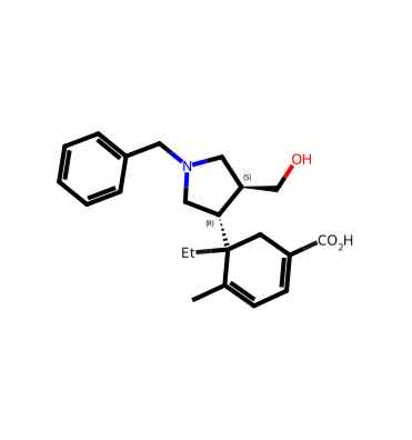 CCC1([C@@H]2CN(Cc3ccccc3)C[C@H]2CO)CC(C(=O)O)=CC=C1C